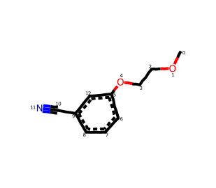 COCCOc1cccc(C#N)c1